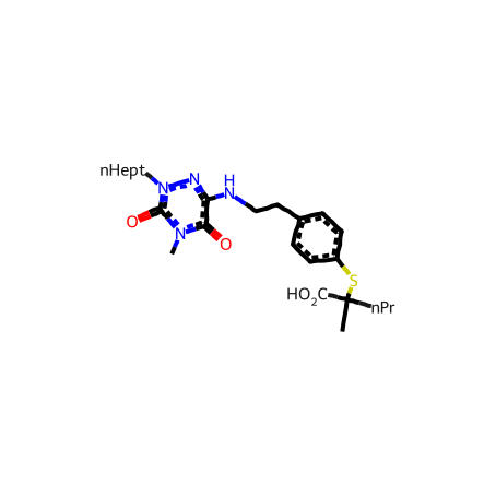 CCCCCCCn1nc(NCCc2ccc(SC(C)(CCC)C(=O)O)cc2)c(=O)n(C)c1=O